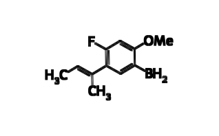 Bc1cc(/C(C)=C/C)c(F)cc1OC